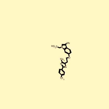 CCCc1cn(CC(=O)O)c2cc(OCCc3sc(-c4ccc(C(F)(F)F)cc4)nc3C)ccc12